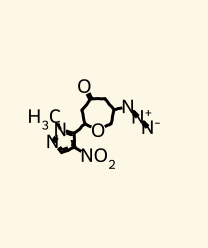 Cn1ncc([N+](=O)[O-])c1C1CC(=O)CC(N=[N+]=[N-])CO1